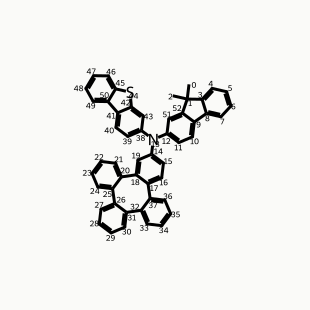 CC1(C)c2ccccc2-c2ccc(N(c3ccc4c(c3)-c3ccccc3-c3ccccc3-c3ccccc3-4)c3ccc4c(c3)sc3ccccc34)cc21